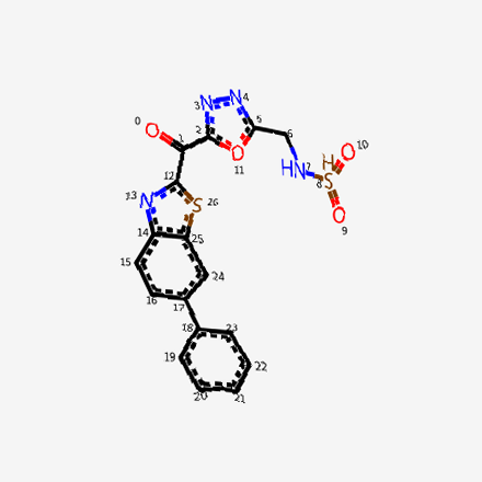 O=C(c1nnc(CN[SH](=O)=O)o1)c1nc2ccc(-c3ccccc3)cc2s1